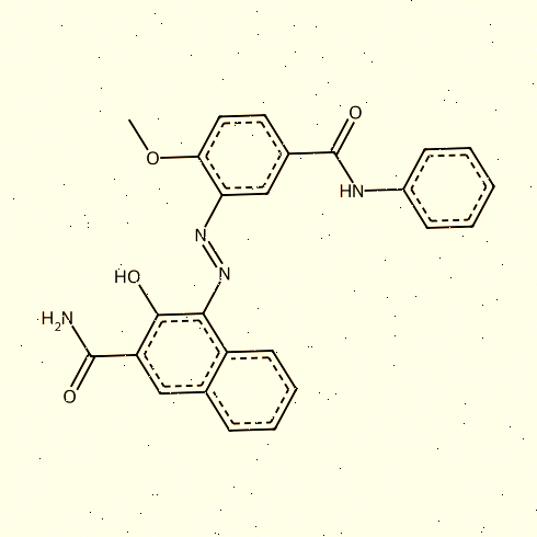 COc1ccc(C(=O)Nc2ccccc2)cc1N=Nc1c(O)c(C(N)=O)cc2ccccc12